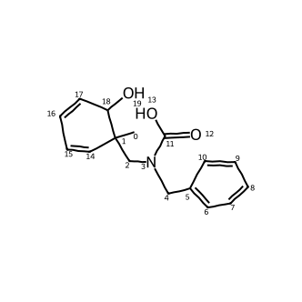 CC1(CN(Cc2ccccc2)C(=O)O)C=CC=CC1O